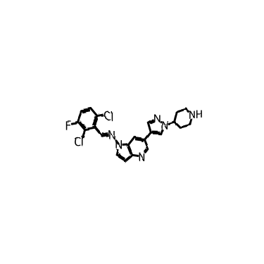 Fc1ccc(Cl)c(/C=N/n2ccc3ncc(-c4cnn(C5CCNCC5)c4)cc32)c1Cl